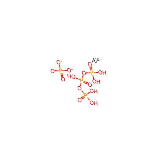 O=P(O)(O)OP(=O)(O)OP(=O)(O)O.O=P([O-])([O-])[O-].[Al+3]